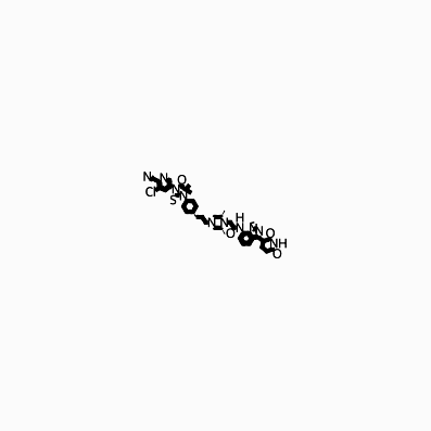 C[C@@H]1CN(CCC[C@H]2CC[C@H](N3C(=S)N(c4cnc(C#N)c(Cl)c4)C(=O)C3(C)C)CC2)C[C@H](C)N1CC(=O)Nc1cccc2c(C3CCC(=O)NC3=O)nn(C)c12